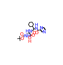 CC(C)(C)OC(=O)NC[C@H](NC(=O)[C@@H](NC(=O)c1cnccn1)C1CCCCC1)C(=O)O